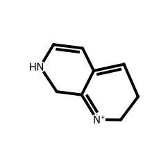 C1=CC2=CCC[N+]=C2CN1